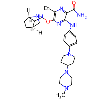 CCc1nc(C(N)=O)c(Nc2ccc(N3CCC(N4CCN(C)CC4)CC3)cc2)nc1OCC1[C@@H]2CC[C@H]1NC2